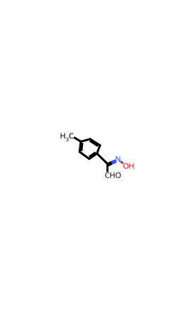 Cc1ccc(C(C=O)=NO)cc1